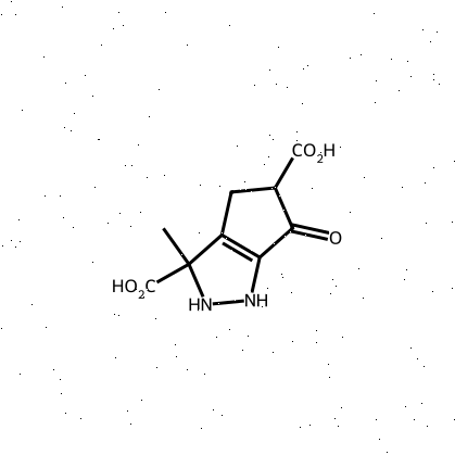 CC1(C(=O)O)NNC2=C1CC(C(=O)O)C2=O